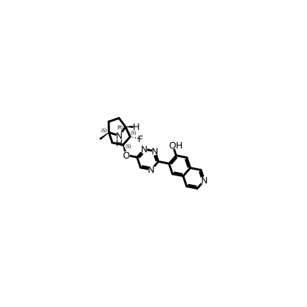 C[C@@]12CC[C@@H](N1)[C@H](F)[C@@H](Oc1cnc(-c3cc4ccncc4cc3O)nn1)C2